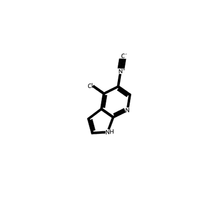 [C-]#[N+]c1cnc2[nH]ccc2c1Cl